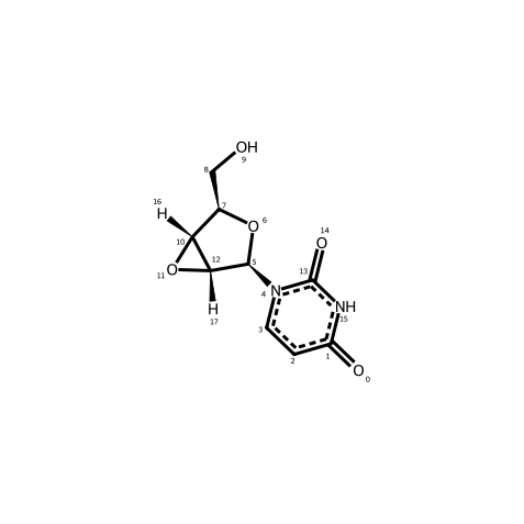 O=c1ccn([C@@H]2O[C@H](CO)[C@H]3O[C@H]32)c(=O)[nH]1